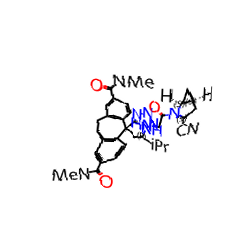 CNC(=O)c1ccc2c(c1)CCc1cc(C(=O)NC)ccc1C2(C[C@@H](NCC(=O)N1[C@H](C#N)C[C@@H]2C[C@@H]21)C(C)C)c1nnn[nH]1